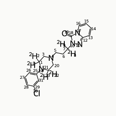 [2H]C1([2H])CN(CCC([2H])([2H])n2nc3ccccn3c2=O)CC([2H])([2H])N1c1cccc(Cl)c1